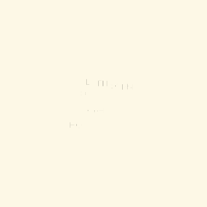 F.[LiH].[O]=[GeH][OH].[RbH].[Sc]